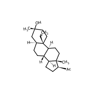 C=C[C@]12CC[C@@](C)(O)C[C@@H]1CC[C@H]1[C@@H]3CC[C@H](C(C)=O)[C@@]3(C)CC[C@@H]12